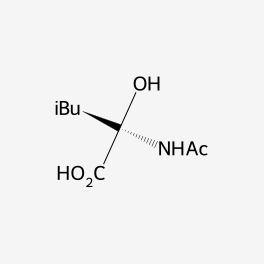 CC[C@H](C)[C@](O)(NC(C)=O)C(=O)O